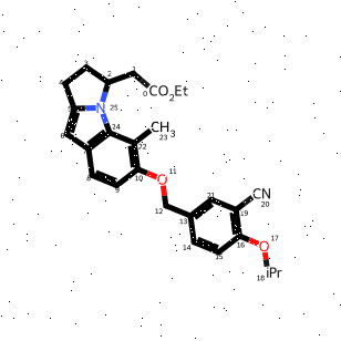 CCOC(=O)CC1CCc2cc3ccc(OCc4ccc(OC(C)C)c(C#N)c4)c(C)c3n21